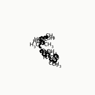 C=C1[C@@H](O)[C@@H]2O[C@]3(CC[C@H](/C=C/[C@@H](C)[C@@H]4CC(C)=C[C@@]5(OC(CC(C)(O)C(=O)O)CC[C@H]5O)O4)O3)CC[C@H]2O[C@@H]1[C@@H](O)C[C@H](C)[C@H]1O[C@@]2(CCCCO2)CC[C@H]1C